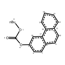 CCCCOC(=O)Oc1ccc2ccc3ccccc3c2c1